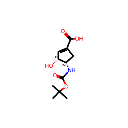 CC(C)(C)OC(=O)N[C@H]1CC(C(=O)O)=C[C@H]1O